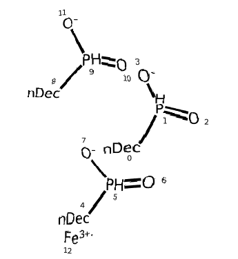 CCCCCCCCCC[PH](=O)[O-].CCCCCCCCCC[PH](=O)[O-].CCCCCCCCCC[PH](=O)[O-].[Fe+3]